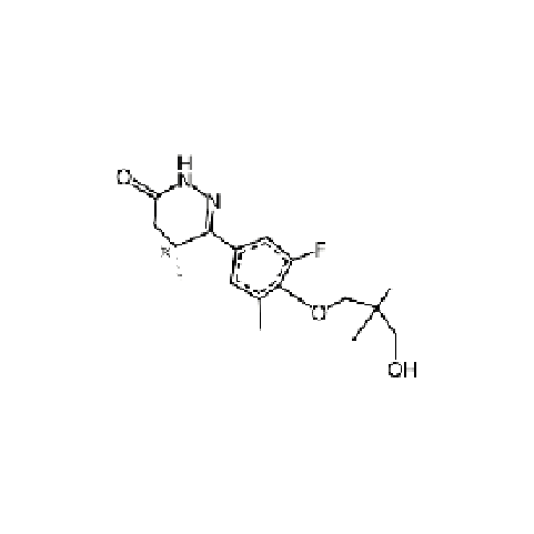 Cc1cc(C2=NNC(=O)C[C@H]2C)cc(F)c1OCC(C)(C)CO